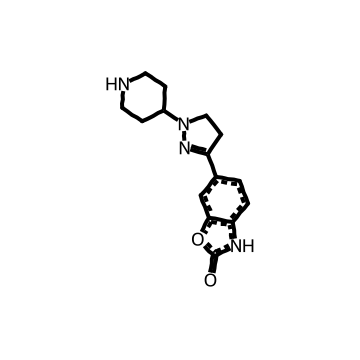 O=c1[nH]c2ccc(C3=NN(C4CCNCC4)CC3)cc2o1